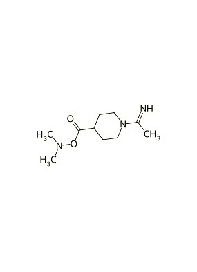 CC(=N)N1CCC(C(=O)ON(C)C)CC1